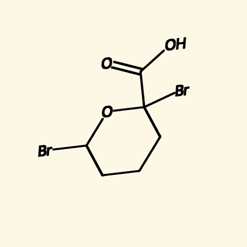 O=C(O)C1(Br)CCCC(Br)O1